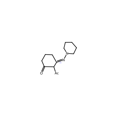 CC(=O)C1C(=O)CCC/C1=N\N1CCCCC1